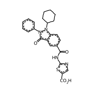 O=C(Nc1ncc(C(=O)O)s1)c1ccc2c(c1)c(=O)n(-c1ccccc1)n2C1CCCCC1